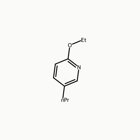 CCCc1ccc(OCC)nc1